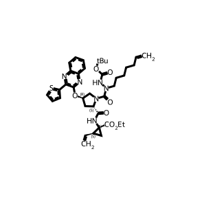 C=CCCCCCN(NC(=O)OC(C)(C)C)C(=O)N1C[C@H](Oc2nc3ccccc3nc2-c2cccs2)C[C@H]1C(=O)N[C@]1(C(=O)OCC)C[C@H]1C=C